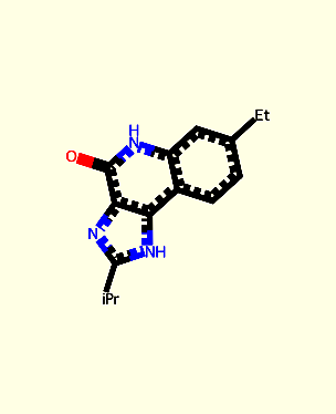 CCc1ccc2c(c1)[nH]c(=O)c1nc(C(C)C)[nH]c12